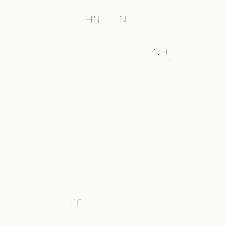 Nc1n[nH]c2ccc(-c3ccc(C(F)(F)F)cc3)cc12